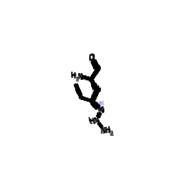 C=C/C(CC(N)C=O)=N\NN